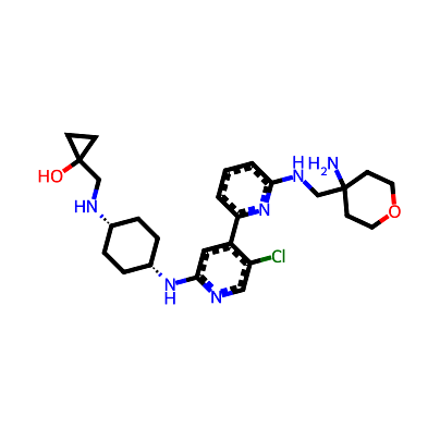 NC1(CNc2cccc(-c3cc(N[C@H]4CC[C@@H](NCC5(O)CC5)CC4)ncc3Cl)n2)CCOCC1